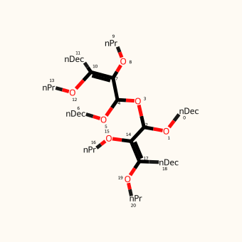 CCCCCCCCCCOC(OC(OCCCCCCCCCC)C(OCCC)=C(CCCCCCCCCC)OCCC)C(OCCC)=C(CCCCCCCCCC)OCCC